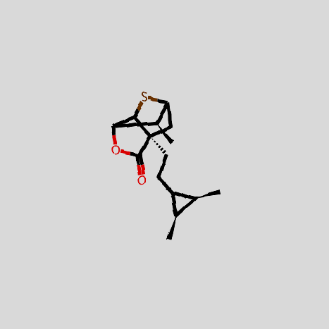 C[C@@H]1C2C[C@@]3(CCC4[C@@H](C)[C@H]4C)C(=O)OC1C3S2